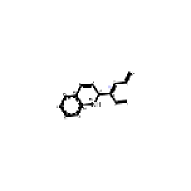 C=C/C=C(\C=C)C1C=Cc2ccccc2N1